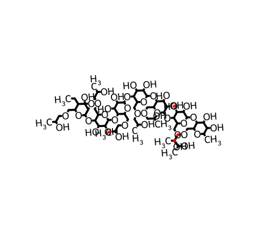 CCC1C(COCC(C)O)OC(OC2C(COCC(C)O)OC(OC3C(COCC(C)O)OC(OC4C(COCC(C)O)OC(OC5C(COCC(C)O)OC(OC6C(COCC(C)O)OC(OC7C(COCC(C)O)OC(C)C(O)C7O)C(O)C6O)C(O)C5O)C(O)C4O)C(O)C3O)C(O)C2O)C2OC12O